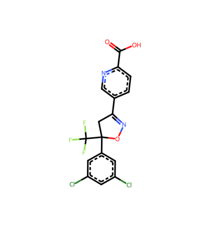 O=C(O)c1ccc(C2=NOC(c3cc(Cl)cc(Cl)c3)(C(F)(F)F)C2)cn1